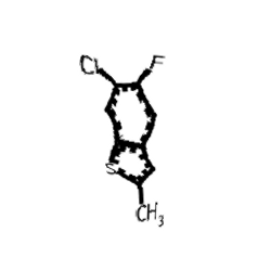 Cc1cc2cc(F)c(Cl)cc2s1